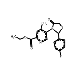 CCOC(=O)c1cc(C)c(N2C(=O)CSC2c2ccc(F)cc2)cn1